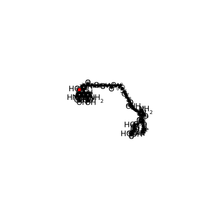 CC(C)(CCOC(=O)CCCOCCOCCNC(=O)c1ccc(C(=O)O)c(-c2c3ccc(=N)c(S(=O)(=O)O)c-3oc3c(S(=O)(=O)O)c(N)ccc23)c1)SSCOCCCCOC(=O)NCC#Cc1cn([C@H]2CC(OCN=[N+]=[N-])[C@@H](COP(=O)(O)OP(=O)(O)CP(=O)(O)O)O2)c(=O)nc1N